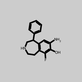 Nc1cc2c(c(F)c1O)CCNCC2c1ccccc1